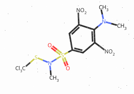 CN(C)c1c([N+](=O)[O-])cc(S(=O)(=O)N(C)SC(Cl)(Cl)Cl)cc1[N+](=O)[O-]